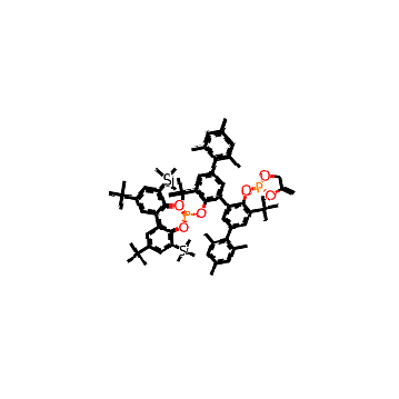 C=C1COP(Oc2c(-c3cc(-c4c(C)cc(C)cc4C)cc(C(C)(C)C)c3Op3oc4c([Si](C)(C)C)cc(C(C)(C)C)cc4c4cc(C(C)(C)C)cc([Si](C)(C)C)c4o3)cc(-c3c(C)cc(C)cc3C)cc2C(C)(C)C)O1